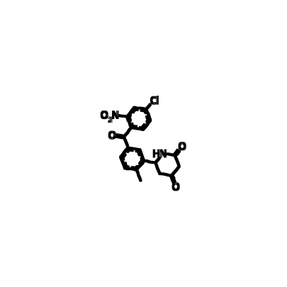 Cc1ccc(C(=O)c2ccc(Cl)cc2[N+](=O)[O-])cc1C1CC(=O)CC(=O)N1